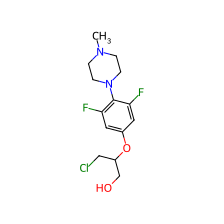 CN1CCN(c2c(F)cc(OC(CO)CCl)cc2F)CC1